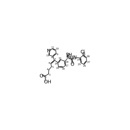 O=C(O)CCCC=C(c1cccnc1)c1cccc(N(S)C(=O)Nc2ccccc2Cl)c1